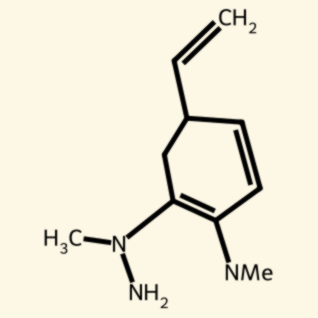 C=CC1C=CC(NC)=C(N(C)N)C1